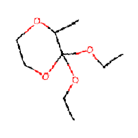 CCOC1(OCC)OCCOC1C